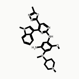 COc1cc(N(C)C2CCN(C)CC2)c(N)cc1Nc1ncc(-c2nnc(C)o2)c(-c2cn(C)c3ccccc23)n1